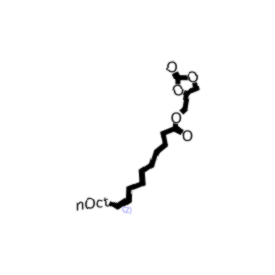 CCCCCCCC/C=C\CCCCCCCC(=O)OCC1COC(=O)O1